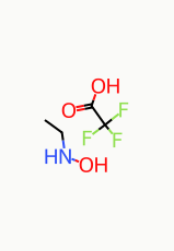 CCNO.O=C(O)C(F)(F)F